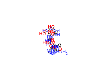 CC(C)C[C@H](NC(=O)CNC(=O)[C@H](Cc1ccccc1)NC(=O)[C@H](CO)NC(=O)[C@H](Cc1c[nH]c2ccccc12)NC(=O)[C@H](Cc1c[nH]cn1)NC(=O)[C@@H](N)CCC(N)=O)C(=O)N[C@@H](CO)C(=O)N1CCC[C@H]1C(=O)NCC(=O)O